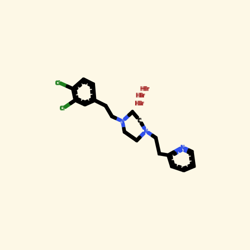 Br.Br.Br.Clc1ccc(CCN2CCN(CCc3ccccn3)CC2)cc1Cl